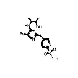 CC(O)C(C)Nc1nc(Nc2ccc(S(N)(=O)=O)nc2)ncc1Br